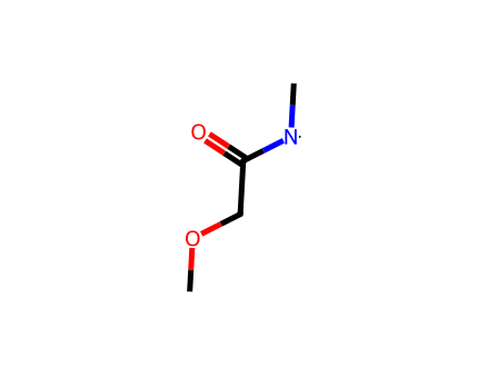 C[N]C(=O)COC